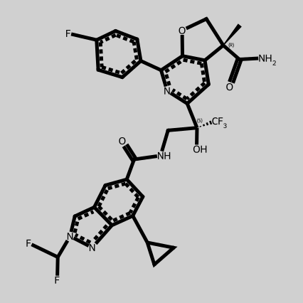 C[C@]1(C(N)=O)COc2c1cc([C@@](O)(CNC(=O)c1cc(C3CC3)c3nn(C(F)F)cc3c1)C(F)(F)F)nc2-c1ccc(F)cc1